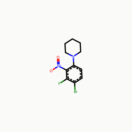 O=[N+]([O-])c1c(N2CCCCC2)ccc(Br)c1F